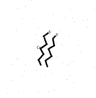 CCCCCC[S-].CCCCCC[S-].[Co+2]